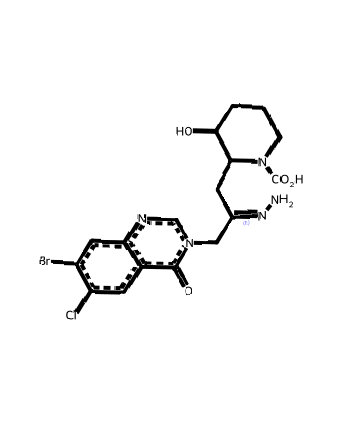 N/N=C(\CC1C(O)CCCN1C(=O)O)Cn1cnc2cc(Br)c(Cl)cc2c1=O